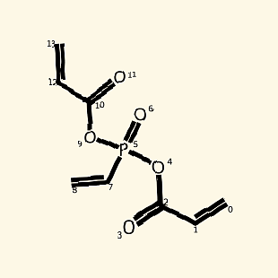 C=CC(=O)OP(=O)(C=C)OC(=O)C=C